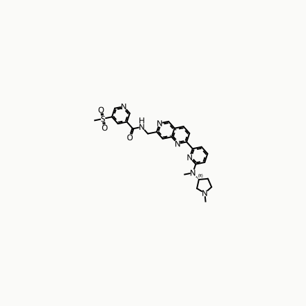 CN1CC[C@@H](N(C)c2cccc(-c3ccc4cnc(CNC(=O)c5cncc(S(C)(=O)=O)c5)cc4n3)n2)C1